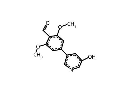 COc1cc(-c2cncc(O)c2)cc(OC)c1C=O